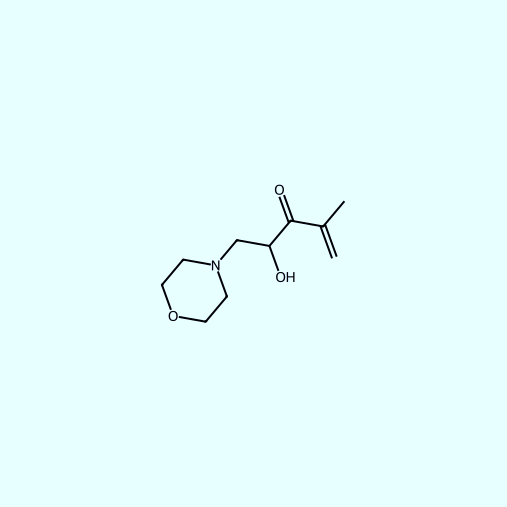 C=C(C)C(=O)C(O)CN1CCOCC1